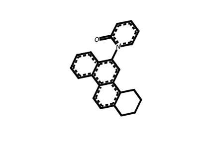 O=c1ccccn1-c1cc2c3c(ccc2c2ccccc12)CCCC3